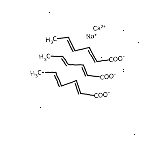 C/C=C/C=C/C(=O)[O-].C/C=C/C=C/C(=O)[O-].C/C=C/C=C/C(=O)[O-].[Ca+2].[Na+]